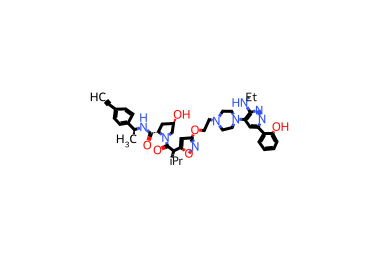 C#Cc1ccc([C@H](C)NC(=O)[C@@H]2C[C@@H](O)CN2C(=O)C(c2cc(OCCN3CCN(c4cc(-c5ccccc5O)nnc4NCC)CC3)no2)C(C)C)cc1